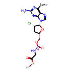 CNc1nc(N)nc2c1ncn2[C@@H]1O[C@H](CO[PH](=O)NCC(=O)OC(C)C)C[C@@H]1Cl